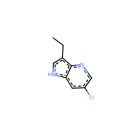 CCc1c[nH]c2cc(Cl)cnc12